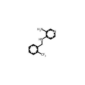 Nc1cnccc1NCc1ccccc1C(F)(F)F